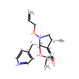 C=CCON1C[C@H](C(C)(C)C)C(=C=O)[C@@]1(Cc1ccncc1)O[SiH](C)C